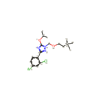 CC(C)Oc1nc(-c2ccc(Br)cc2Cl)nn1COCC[Si](C)(C)C